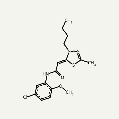 CCCCN1N=C(C)S/C1=C\C(=O)Nc1cc(Cl)ccc1OC